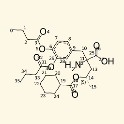 CCCC(=O)Oc1ccc(CC(N)(C[C@H](C)OC(=O)C2CCCCC2)C(=O)O)cc1OC(=O)CCC